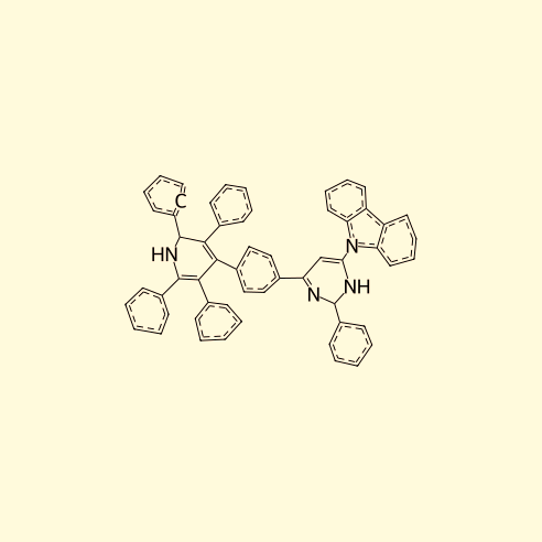 C1=C(n2c3ccccc3c3ccccc32)NC(c2ccccc2)N=C1c1ccc(C2=C(c3ccccc3)C(c3ccccc3)NC(c3ccccc3)=C2c2ccccc2)cc1